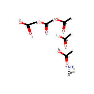 CC(=O)[O-].CC(=O)[O-].CC(=O)[O-].CC(=O)[O-].CC(=O)[O-].[Ce+4].[NH4+]